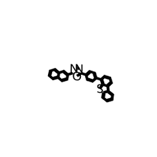 c1ccc2cc(-c3nnc(-c4ccc(-c5cccc6c5sc5ccccc56)cc4)o3)ccc2c1